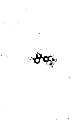 [2H]C([2H])([2H])N1C(=O)OCc2cc(-c3cncc4c3CCCC4N)ccc21